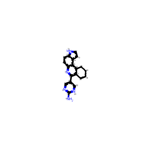 Nc1ncc(-c2nc3ccc4[nH]ccc4c3c3c2CCCC3)cn1